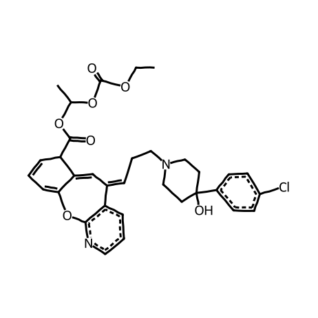 CCOC(=O)OC(C)OC(=O)C1C=CC=C2Oc3ncccc3C(=CCCN3CCC(O)(c4ccc(Cl)cc4)CC3)C=C21